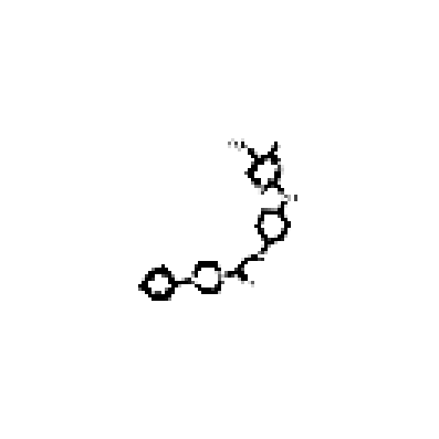 Cc1nc(NC2CCC(OCC(=O)N3CCN(c4ccccc4)CC3)CC2)ncc1[N+](=O)[O-]